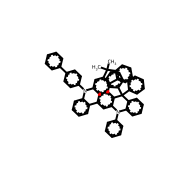 CC1(C)c2ccccc2-c2ccc(N(c3ccc(-c4ccccc4)cc3)c3ccccc3-c3ccc4c(c3)N(c3ccccc3)c3ccccc3C4(c3ccccc3)c3ccccc3)cc21